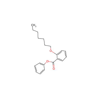 CCCCCCCOc1ccccc1C(=O)Oc1ccccc1